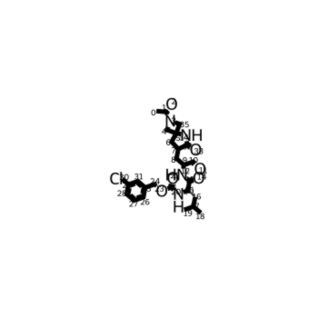 CC(=O)N1CC2(CC(CC(C=O)NC(=O)[C@H](CC(C)C)NC(=O)OCc3cccc(Cl)c3)C(=O)N2)C1